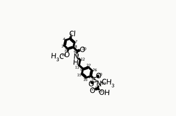 COc1ccc(Cl)cc1C(=O)NCCc1ccc(S(=O)(=O)N(C)C(=O)O)cc1